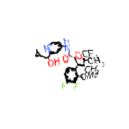 COc1c([C@H]2[C@H](C(=O)Nc3ccnc([C@@H](O)C4CC4)c3)O[C@@](C)(C(F)(F)F)[C@H]2C)ccc(F)c1F